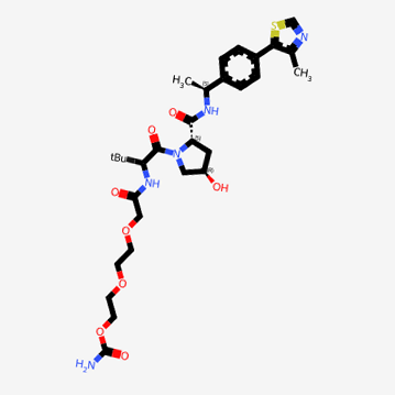 Cc1ncsc1-c1ccc([C@H](C)NC(=O)[C@@H]2C[C@@H](O)CN2C(=O)C(NC(=O)COCCOCCOC(N)=O)C(C)(C)C)cc1